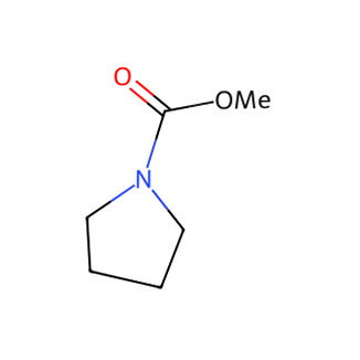 [CH2]OC(=O)N1CCCC1